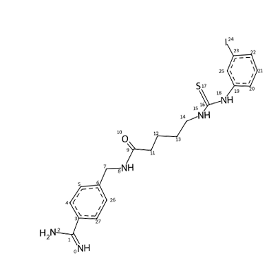 N=C(N)c1ccc(CNC(=O)CCCCNC(=S)Nc2cccc(I)c2)cc1